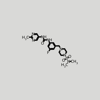 Cc1ncc(NC(=O)Nc2cc(F)cc(CN3CCN(S(=O)(=O)N(C)C)CC3)c2)cn1